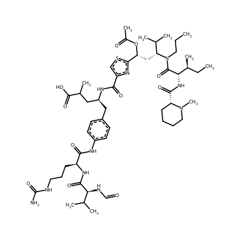 CCCN(C(=O)[C@@H](NC(=O)[C@H]1CCCCN1C)[C@@H](C)CC)[C@H](C[C@@H](OC(C)=O)c1nc(C(=O)N[C@@H](Cc2ccc(NC(=O)[C@H](CCCNC(N)=O)NC(=O)[C@@H](NC=O)C(C)C)cc2)CC(C)C(=O)O)cs1)C(C)C